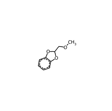 COCC1Oc2ccccc2O1